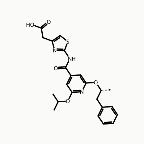 CC(C)Oc1cc(C(=O)Nc2nc(CC(=O)O)cs2)cc(O[C@H](C)Cc2ccccc2)n1